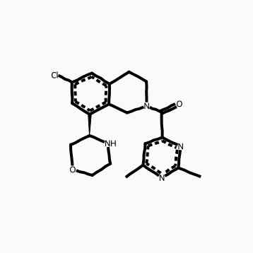 Cc1cc(C(=O)N2CCc3cc(Cl)cc([C@@H]4COCCN4)c3C2)nc(C)n1